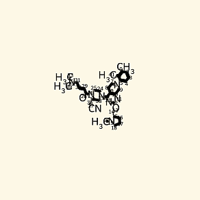 Cc1cccc(N2CCc3c(nc(OC[C@@H]4CCCN4C)nc3N3CCN(C(=O)/C=C/CN(C)C)[C@@H](CC#N)C3)C2)c1C